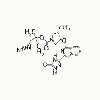 C[C@H]1CN(C(=O)OC(C)(C)CN=[N+]=[N-])C[C@@H]1Oc1nc(-c2n[nH]c(=O)[nH]2)cc2ccccc12